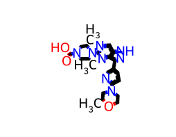 C[C@@H]1CN(c2ccc(-c3n[nH]c4cnc(N5[C@H](C)CN(C(=O)O)C[C@@H]5C)nc34)cn2)CCO1